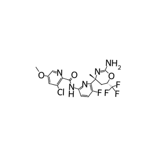 COc1cnc(C(=O)Nc2ccc(F)c([C@@]3(C)C[C@@H](C(F)(F)F)OC(N)=N3)n2)c(Cl)c1